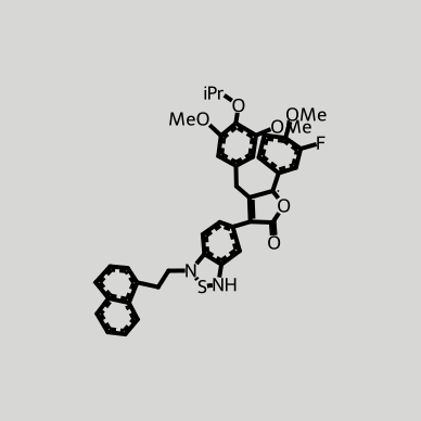 COc1ccc([C]2OC(=O)C(c3ccc4c(c3)NSN4CCc3cccc4ccccc34)=C2Cc2cc(OC)c(OC(C)C)c(OC)c2)cc1F